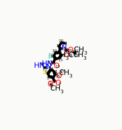 COC(=O)c1cc2sc(=N)n(NC(=O)c3ccc(C4CCCN4C(=O)OC(C)(C)C)cc3F)c2cc1OC